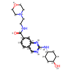 O=C(NCCN1CCOCC1)c1ccc2cnc(N[C@H]3CC[C@H](O)CC3)nc2c1